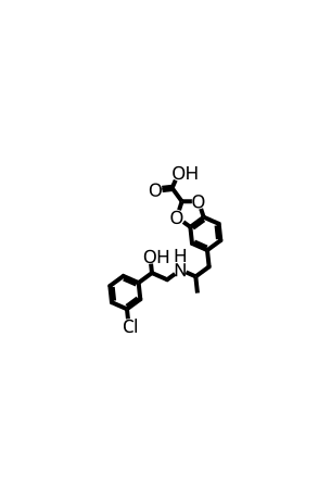 CC(Cc1ccc2c(c1)OC(C(=O)O)O2)NCC(O)c1cccc(Cl)c1